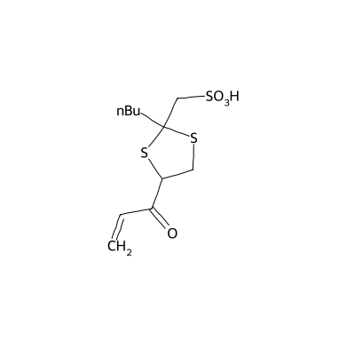 C=CC(=O)C1CSC(CCCC)(CS(=O)(=O)O)S1